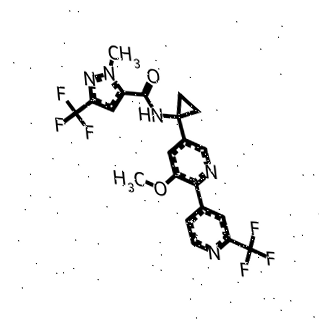 COc1cc(C2(NC(=O)c3cc(C(F)(F)F)nn3C)CC2)cnc1-c1ccnc(C(F)(F)F)c1